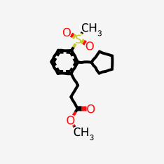 COC(=O)CCc1cccc(S(C)(=O)=O)c1C1CCCC1